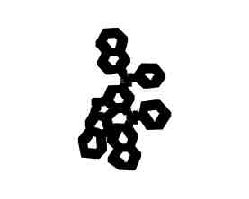 C1=CC2C=CC(N(c3ccccc3)c3cc(N(c4ccccc4)c4ccc5ccccc5c4)cc4sc5cc6ccccc6cc5c34)=CC2C=C1